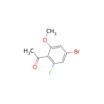 COc1cc(Br)cc(F)c1C(C)=O